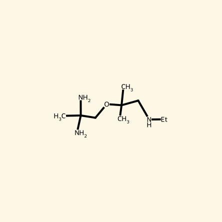 CCNCC(C)(C)OCC(C)(N)N